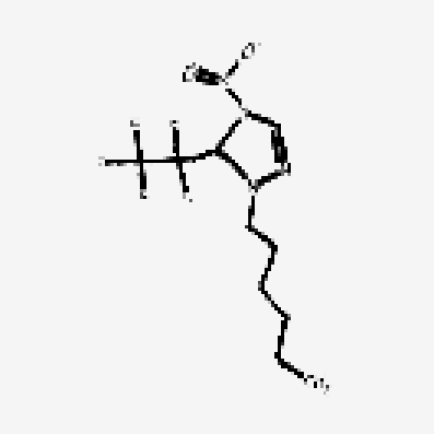 CCCCCCN1N=CN([N+](=O)[O-])C1C(F)(F)C(F)(F)F